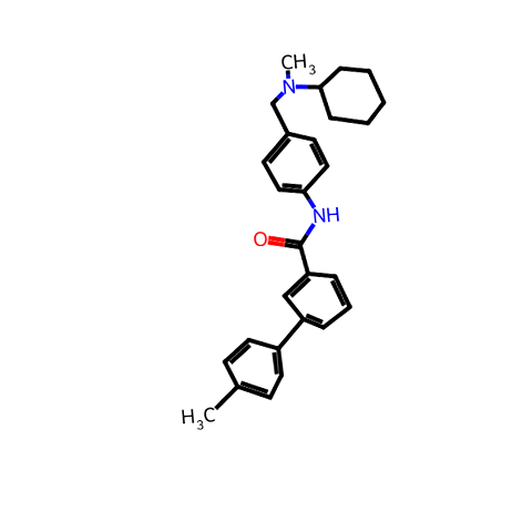 Cc1ccc(-c2cccc(C(=O)Nc3ccc(CN(C)C4CCCCC4)cc3)c2)cc1